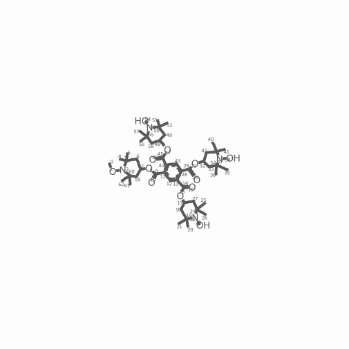 CON1C(C)(C)CC(OC(=O)c2cc(C(=O)OC3CC(C)(C)N(O)C(C)(C)C3)c(C(=O)OC3CC(C)(C)N(O)C(C)(C)C3)cc2C(=O)OC2CC(C)(C)N(O)C(C)(C)C2)CC1(C)C